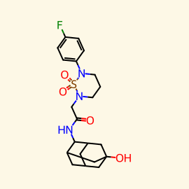 O=C(CN1CCCN(c2ccc(F)cc2)S1(=O)=O)NC1C2CC3CC1CC(O)(C3)C2